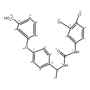 CC(NC(=O)Nc1ccc(Cl)c(Cl)c1)c1ccc(Oc2ccnc(C(=O)O)c2)cc1